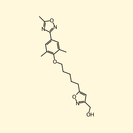 Cc1nc(-c2cc(C)c(OCCCCCc3cc(CO)no3)c(C)c2)no1